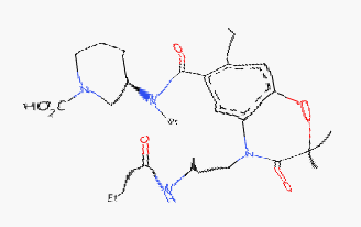 CCC(=O)NCCN1C(=O)C(C)(C)Oc2cc(C)c(C(=O)N(C(C)C)[C@@H]3CCCN(C(=O)O)C3)cc21